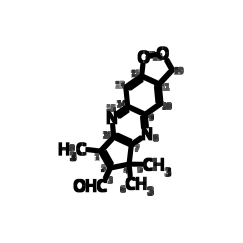 CC1=C(C=O)C(C)(C)c2nc3cc4c(cc3nc21)OOC4